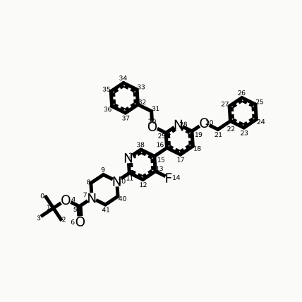 CC(C)(C)OC(=O)N1CCN(c2cc(F)c(-c3ccc(OCc4ccccc4)nc3OCc3ccccc3)cn2)CC1